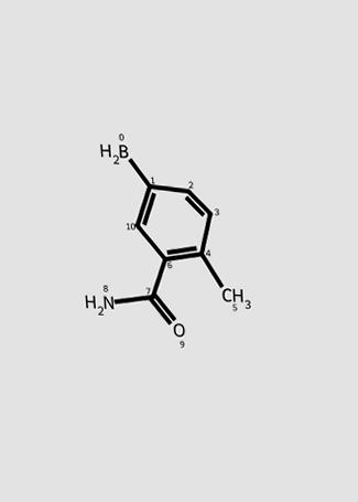 Bc1ccc(C)c(C(N)=O)c1